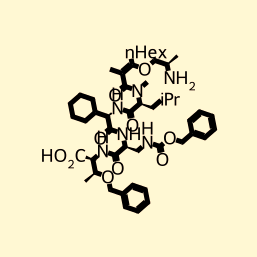 CCCCCC/C(OC[C@@H](C)N)=C(\C)C(=O)N(C)[C@@H](CC(C)C)C(=O)N[C@H](C(=O)N[C@@H](CNC(=O)OCc1ccccc1)C(=O)N[C@H](C(=O)O)[C@H](C)OCc1ccccc1)C1CCCCC1